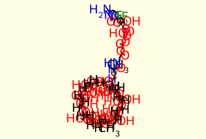 CN[C@H](CSCC1O[C@H]2O[C@@H]3C(CO)O[C@H](O[C@@H]4C(CO)O[C@H](O[C@@H]5C(CO)O[C@@H](O[C@H]6C(C)O[C@H](O[C@@H]7C(CO)O[C@@H](O[C@@H]8C(CO)O[C@@H](O[C@H]1[C@H](O)C2O)C(O)[C@H]8O)C(O)[C@H]7O)C(O)[C@H]6O)C(O)[C@H]5O)C(O)[C@H]4O)C(O)[C@H]3O)C(=O)NCCC(=O)OCC(=O)OCOP(=O)(O)OC[C@H]1O[C@@H](n2ccc(N)nc2=O)C(F)(F)[C@@H]1O